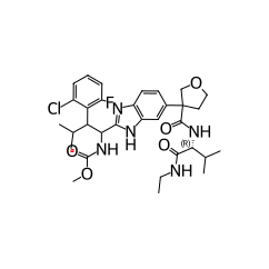 CCNC(=O)[C@H](NC(=O)C1(c2ccc3nc(C(NC(=O)OC)C(c4c(F)cccc4Cl)C(C)C)[nH]c3c2)CCOC1)C(C)C